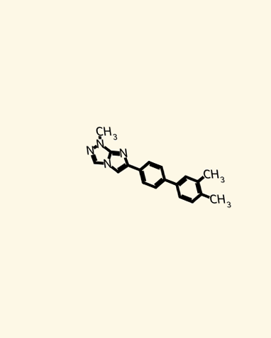 Cc1ccc(-c2ccc(-c3cn4cnn(C)c4n3)cc2)cc1C